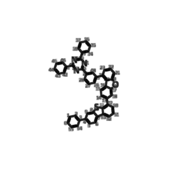 c1ccc(-c2ccc3c(c2)sc2c(-c4ccc5c(c4)oc4cccc(-c6cccc(-c7nc(-c8ccccc8)nc(-c8ccccc8)n7)c6)c45)cccc23)cc1